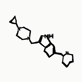 c1cc2c(CN3CCN(C4CC4)CC3)c[nH]c2cc1C1CCCC[N]1